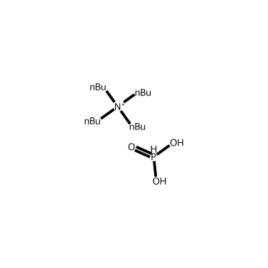 CCCC[N+](CCCC)(CCCC)CCCC.O=[PH](O)O